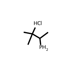 CC(P)C(C)(C)C.Cl